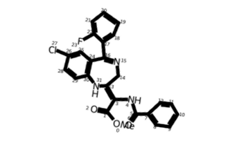 COC(=O)/C(NC(=O)c1ccccc1)=C1/CN=C(c2ccccc2F)c2cc(Cl)ccc2N1